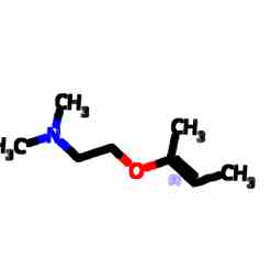 C/C=C(\C)OCCN(C)C